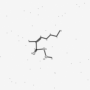 CCCCC=C(C)C(=O)OOC